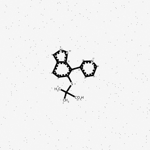 CC(C)(Sc1ccc2cnsc2c1-c1cccnc1)C(=O)O